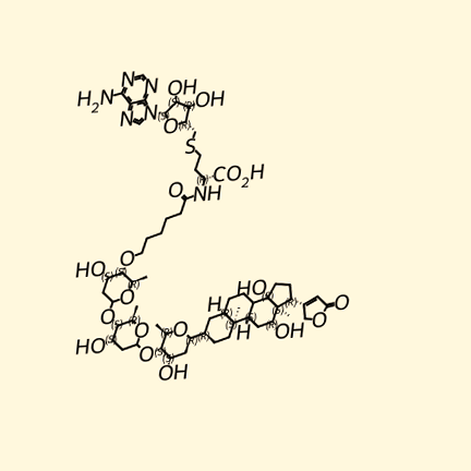 C[C@H]1OC(O[C@H]2[C@@H](O)CC(O[C@H]3[C@@H](O)C[C@H]([C@@H]4CC[C@@]5(C)[C@H](CCC6[C@@H]5C[C@@H](O)[C@]5(C)[C@@H](C7=CC(=O)OC7)CC[C@]65O)C4)O[C@@H]3C)O[C@@H]2C)C[C@H](O)[C@@H]1OCCCCCC(=O)N[C@H](CCSC[C@@H]1O[C@H](n2cnc3c(N)ncnc32)[C@@H](O)[C@H]1O)C(=O)O